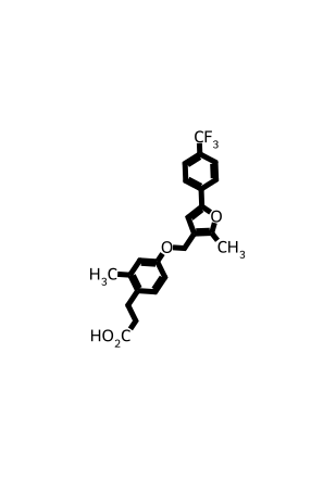 Cc1cc(OCc2cc(-c3ccc(C(F)(F)F)cc3)oc2C)ccc1CCC(=O)O